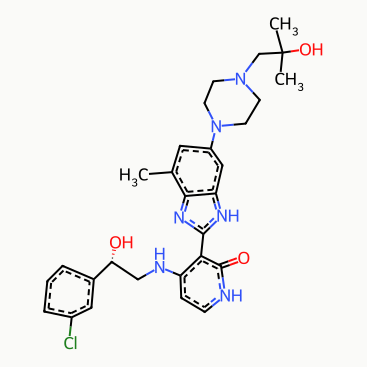 Cc1cc(N2CCN(CC(C)(C)O)CC2)cc2[nH]c(-c3c(NC[C@@H](O)c4cccc(Cl)c4)cc[nH]c3=O)nc12